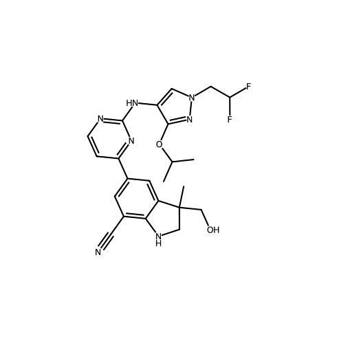 CC(C)Oc1nn(CC(F)F)cc1Nc1nccc(-c2cc(C#N)c3c(c2)C(C)(CO)CN3)n1